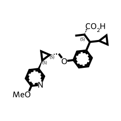 COc1ccc([C@H]2C[C@@H]2COc2cccc(C(C3CC3)[C@H](C)C(=O)O)c2)cn1